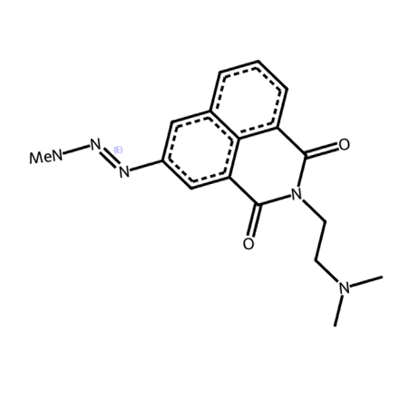 CN/N=N/c1cc2c3c(cccc3c1)C(=O)N(CCN(C)C)C2=O